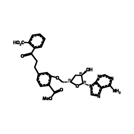 COC(=O)c1ccc(CCC(=O)c2ccccc2C(=O)O)cc1OC[C@@H]1C[C@@H](O)[C@H](n2cnc3c(N)ncnc32)O1